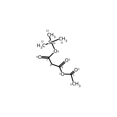 CC(=O)OC(=O)CC(=O)O[Si](C)(C)C